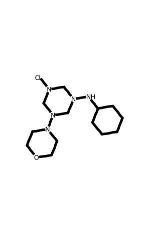 ClN1CN(NC2CCCCC2)CN(N2CCOCC2)C1